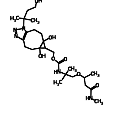 CNC(=O)CC(C)OCC(C)(C)NC(=O)OCC1C2(O)CCc3nnn(C(C)(C)CCO)c3CCC12O